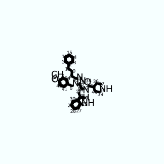 COc1ccc(Cn2c(CCCc3ccccc3)nnc2[C@@H](Cc2c[nH]c3ccccc23)NC(=O)C2CCNCC2)cc1